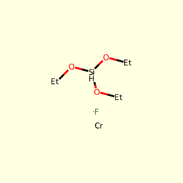 CCO[SiH](OCC)OCC.[Cr].[F]